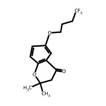 CC1(C)CC(=O)c2cc(OCCCC(F)(F)F)ccc2O1